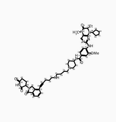 CC[C@@H]1C(=O)N(C)c2cnc(Nc3ccc(C(=O)NC4CCN(CCCCNCCCC#Cc5cccc6c5CN(C5CCC(=O)NC5=O)C6=O)CC4)cc3OC)nc2N1C1CCCC1